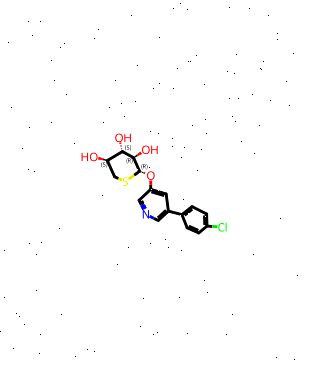 O[C@@H]1[C@@H](O)[C@H](Oc2cncc(-c3ccc(Cl)cc3)c2)SC[C@H]1O